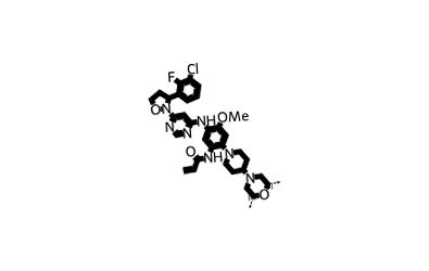 C=CC(=O)Nc1cc(Nc2cc(N3OCCC3c3cccc(Cl)c3F)ncn2)c(OC)cc1N1CCC(N2C[C@@H](C)O[C@@H](C)C2)CC1